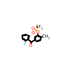 Cc1ccc(C(=O)c2ccccc2F)cc1OS(=O)(=O)C(F)(F)F